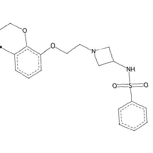 O=S(=O)(NC1CN(CCOc2cccc3c2OCCO3)C1)c1ccccc1